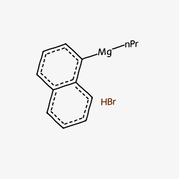 Br.CC[CH2][Mg][c]1cccc2ccccc12